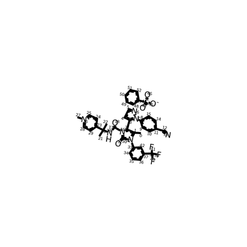 Cc1c(-c2ccnn2-c2ccc(C#N)cc2)n(C(=O)NC(C)(C)c2cc[n+](C)cc2)c(=O)n1-c1cccc(C(F)(F)F)c1.O=S(=O)([O-])c1ccccc1